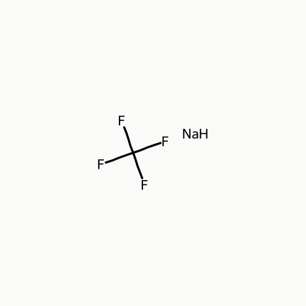 FC(F)(F)F.[NaH]